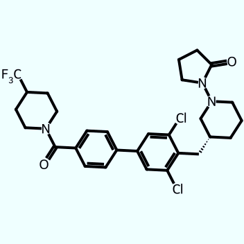 O=C(c1ccc(-c2cc(Cl)c(C[C@H]3CCCN(N4CCCC4=O)C3)c(Cl)c2)cc1)N1CCC(C(F)(F)F)CC1